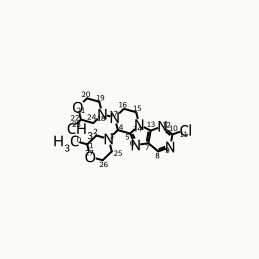 CC1CN(C2c3nc4cnc(Cl)nc4n3CCN2N2CCOC(C)C2)CCO1